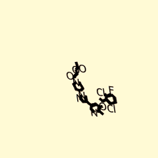 CC(=O)OCC(=O)N1CCC(n2cc(-c3cnc(C)c(OC(C)c4c(Cl)ccc(F)c4Cl)c3)cn2)CC1